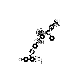 CC1(C)CCC(c2ccc(Cl)cc2)=C(CN2CCN(c3ccc(C(=O)NS(=O)(=O)c4ccc(NC(CCN5CCC(CP(=O)(O)O)CC5)CSc5ccccc5)c(S(=O)(=O)C(F)(F)F)c4)cc3)CC2)C1